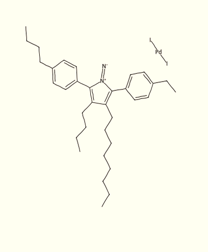 CCCCCCCCC1=C(c2ccc(CC)cc2)[N+](=[N-])C(c2ccc(CCCC)cc2)=C1CCCC.[I][Pd][I]